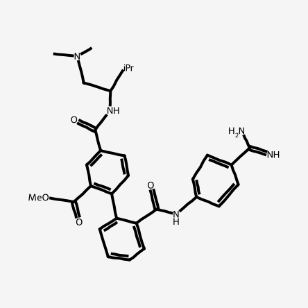 COC(=O)c1cc(C(=O)NC(CN(C)C)C(C)C)ccc1-c1ccccc1C(=O)Nc1ccc(C(=N)N)cc1